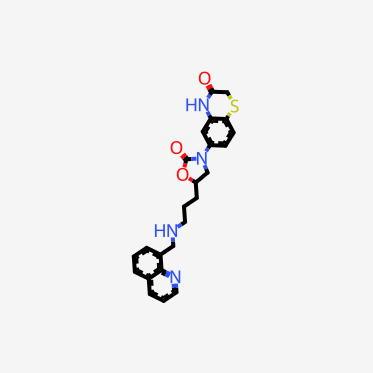 O=C1CSc2ccc(N3CC(CCCNCc4cccc5cccnc45)OC3=O)cc2N1